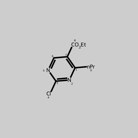 CCCc1nc(Cl)ncc1C(=O)OCC